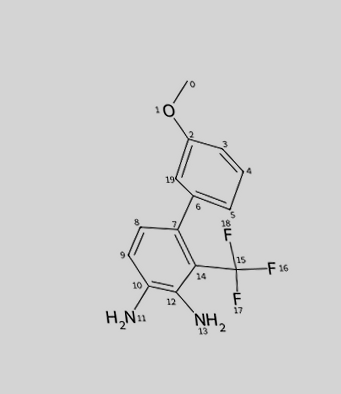 COc1cccc(-c2ccc(N)c(N)c2C(F)(F)F)c1